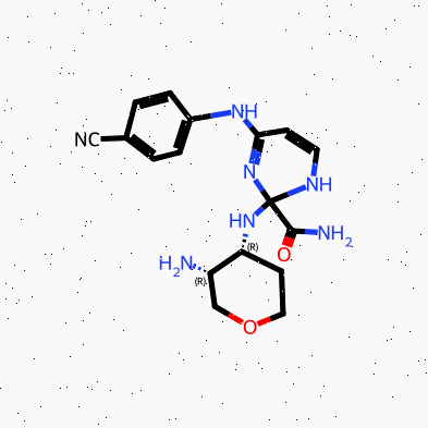 N#Cc1ccc(NC2=NC(N[C@@H]3CCOC[C@@H]3N)(C(N)=O)NC=C2)cc1